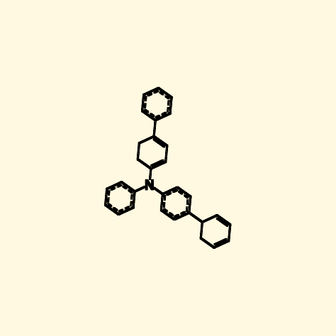 C1=CCC(c2ccc(N(C3=CC=C(c4ccccc4)CC3)c3ccccc3)cc2)C=C1